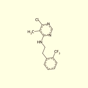 Cc1c(Cl)ncnc1NCCc1ccccc1C(F)(F)F